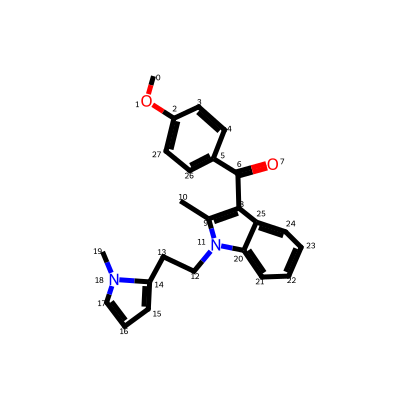 COc1ccc(C(=O)c2c(C)n(CCc3cccn3C)c3ccccc23)cc1